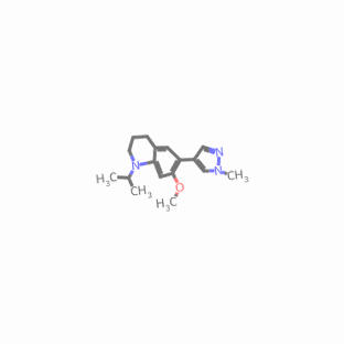 COc1cc2c(cc1-c1cnn(C)c1)CCCN2C(C)C